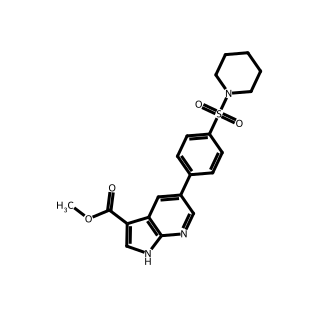 COC(=O)c1c[nH]c2ncc(-c3ccc(S(=O)(=O)N4CCCCC4)cc3)cc12